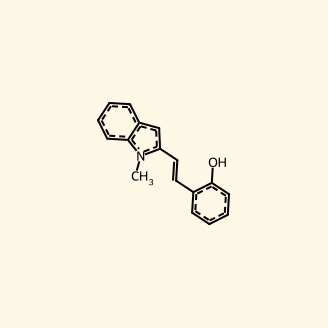 Cn1c(C=Cc2ccccc2O)cc2ccccc21